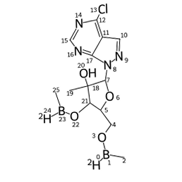 [2H]B(C)OCC1OC(n2ncc3c(Cl)ncnc32)C(C)(O)C1OB([2H])C